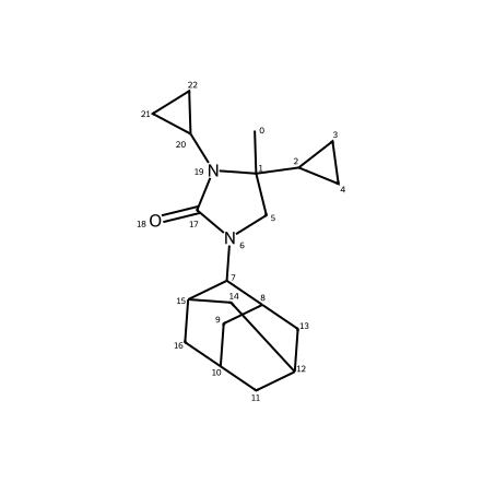 CC1(C2CC2)CN(C2C3CC4CC(C3)CC2C4)C(=O)N1C1CC1